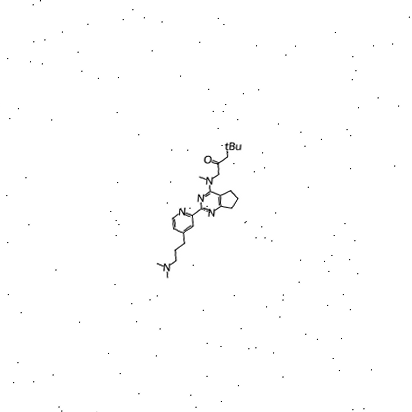 CN(C)CCCc1ccnc(-c2nc3c(c(N(C)CC(=O)CC(C)(C)C)n2)CCC3)c1